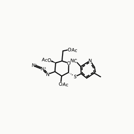 CC(=O)OCC1O[C@H](Sc2cc(C)cnc2C#N)C(OC(C)=O)C(N=[N+]=[N-])[C@H]1OC(C)=O